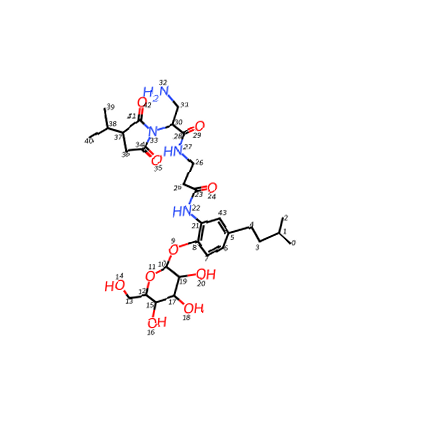 CC(C)CCc1ccc(OC2OC(CO)C(O)C(O)C2O)c(NC(=O)CCNC(=O)C(CN)N2C(=O)CC(C(C)C)C2=O)c1